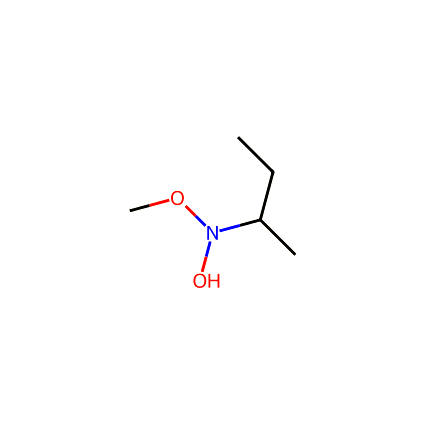 CCC(C)N(O)OC